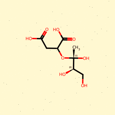 C[C@](O)(OC(CC(=O)O)C(=O)O)[C@H](O)CO